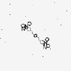 N#CC1(N(c2ccccc2)c2ccccc2)C=CC(C=Cc2ccc(C=CC3=CCC(C#N)(N(c4ccccc4)c4ccccc4)C=C3)cc2)=CC1